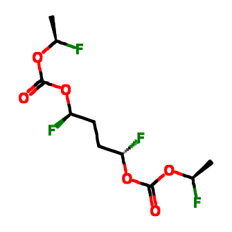 C[C@@H](F)OC(=O)O[C@H](F)CC[C@H](F)OC(=O)O[C@@H](C)F